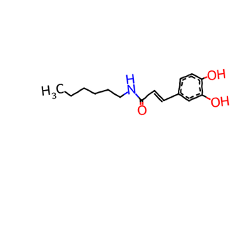 CCCCCCNC(=O)C=Cc1ccc(O)c(O)c1